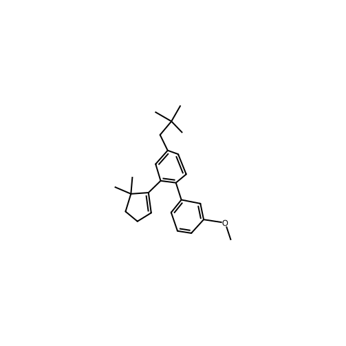 COc1cccc(-c2ccc(CC(C)(C)C)cc2C2=CCCC2(C)C)c1